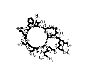 C=CCC(C)C(NC(=O)C(CCC(=O)O)CC(=O)C(CC(C)C)NC(=O)C1CSC(C(N)C(C)CC)=N1)C(=O)CC1CCCCNC(=O)C(CC(N)=O)CC(=O)C(CC(=O)O)NC(=O)C(Cc2c[nH]cn2)NC(=O)C(Cc2ccccc2)NC(=O)C(C(C)CC)CC(=O)C(CCCN)NC1=O